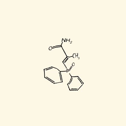 CC(=CP(=O)(c1ccccc1)c1ccccc1)C(N)=O